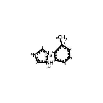 Cc1ccccc1.c1nc[nH]n1